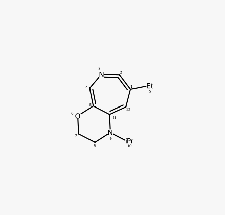 CCC1=C=NC=C2OCCN(C(C)C)C2=C1